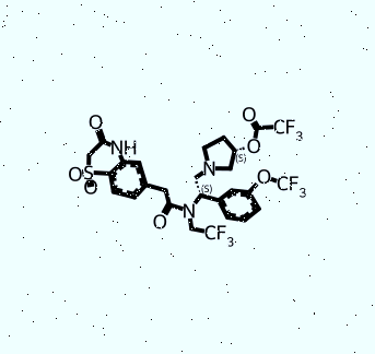 O=C1CS(=O)(=O)c2ccc(CC(=O)N(CC(F)(F)F)[C@H](CN3CC[C@H](OC(=O)C(F)(F)F)C3)c3cccc(OC(F)(F)F)c3)cc2N1